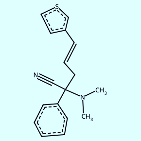 CN(C)C(C#N)(CC=Cc1ccsc1)c1ccccc1